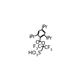 CC(C)c1cc(C(C)C)c(C(=O)OC(CS(=O)(=O)O)(C(F)(F)F)C(F)(F)F)c(C(C)C)c1